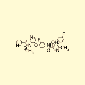 COc1nc2c(Oc3ccc(NC(=O)c4cnc(C)c(-c5ccc(F)cc5)c4O)cc3F)ccnc2cc1-c1cccnc1